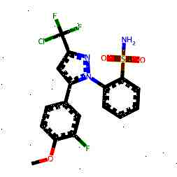 COc1ccc(-c2cc(C(F)(F)Cl)nn2-c2ccccc2S(N)(=O)=O)cc1F